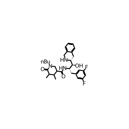 CCCCN1CC(C(=O)N[C@@H](Cc2cc(F)cc(F)c2)[C@H](O)[C@H]2Cc3ccccc3CN2)C(C)C(C)C1=O